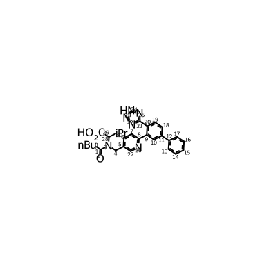 CCCCC(=O)N(Cc1ccc(-c2cc(-c3ccccc3)ccc2-c2nn[nH]n2)nc1)C(C(=O)O)C(C)C